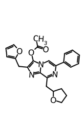 CC(=O)Oc1c(Cc2ccco2)nc2c(CC3CCCO3)nc(-c3ccccc3)cn12